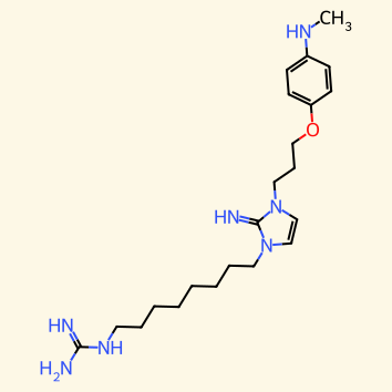 CNc1ccc(OCCCn2ccn(CCCCCCCCNC(=N)N)c2=N)cc1